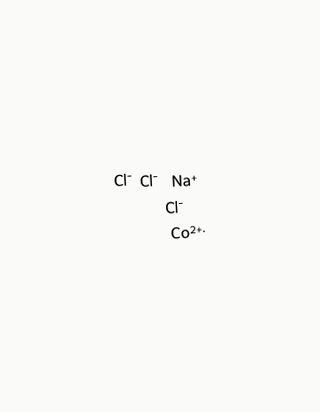 [Cl-].[Cl-].[Cl-].[Co+2].[Na+]